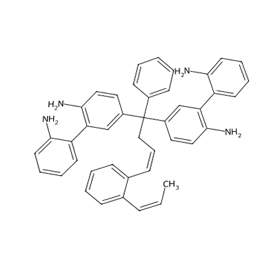 C/C=C\c1ccccc1/C=C\CC(c1ccccc1)(c1ccc(N)c(-c2ccccc2N)c1)c1ccc(N)c(-c2ccccc2N)c1